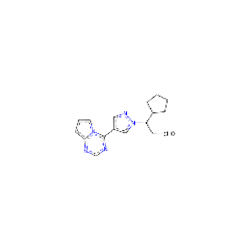 O=CCC(C1CCCC1)n1cc(-c2ncnc3cccn23)cn1